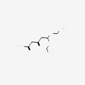 CCOC(CC(=O)CC(=O)O)OCC